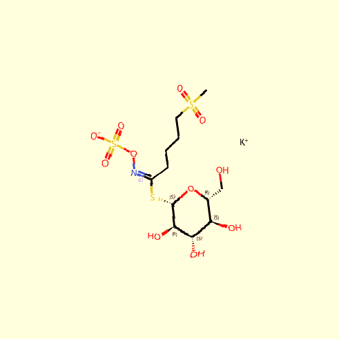 CS(=O)(=O)CCCC/C(=N\OS(=O)(=O)[O-])S[C@@H]1O[C@H](CO)[C@@H](O)[C@H](O)[C@H]1O.[K+]